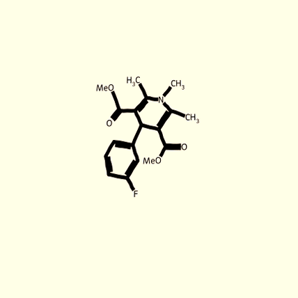 COC(=O)C1=C(C)N(C)C(C)=C(C(=O)OC)C1c1cccc(F)c1